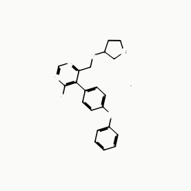 Cl.Nc1ncnc(CNC2CCNC2)c1-c1ccc(Oc2ccccc2)cc1